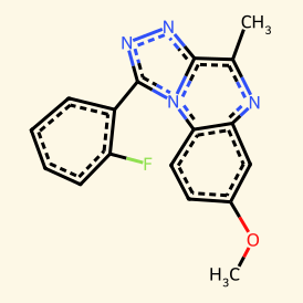 COc1ccc2c(c1)nc(C)c1nnc(-c3ccccc3F)n12